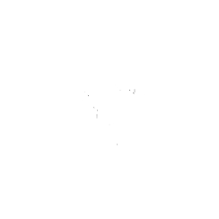 Cc1c(C#N)cc(C(N)=O)n1N